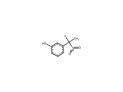 CC(F)(c1cccc(O)c1)[SH](=O)=O